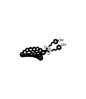 O=C(OCCCc1ccc(O)cc1)C1(C(=O)OCCCc2ccc(O)cc2)C2c3cc4c5c6c(cc7cc8c9c%10c(cc%11cc%12c%13c(c%14c3c5c3c%14c5c%13c%11c%10c5c5c9c7c6c35)C21C%12)C8)C4